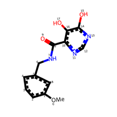 COc1cccc(CNC(=O)c2ncnc(O)c2O)c1